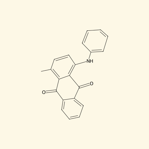 Cc1ccc(Nc2ccccc2)c2c1C(=O)c1ccccc1C2=O